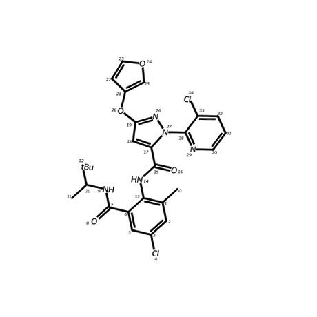 Cc1cc(Cl)cc(C(=O)NC(C)C(C)(C)C)c1NC(=O)c1cc(Oc2ccoc2)nn1-c1ncccc1Cl